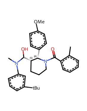 COc1ccc([C@H]2[C@@H](C(O)N(C)c3cccc(C(C)(C)C)c3)CCCN2C(=O)c2ccccc2C)cc1